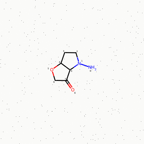 NN1CCC2OCC(=O)C21